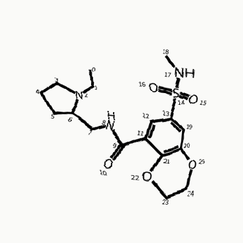 CCN1CCCC1CNC(=O)c1cc(S(=O)(=O)NC)cc2c1OCCO2